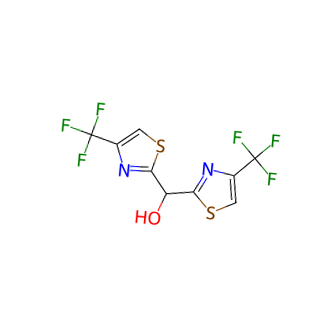 OC(c1nc(C(F)(F)F)cs1)c1nc(C(F)(F)F)cs1